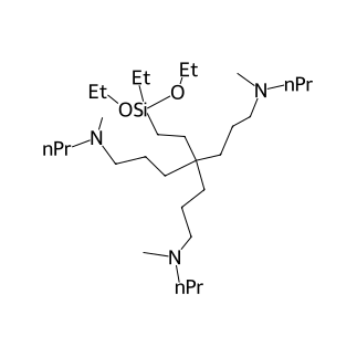 CCCN(C)CCCC(CCCN(C)CCC)(CCCN(C)CCC)CC[Si](CC)(OCC)OCC